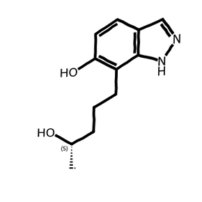 [CH2][C@H](O)CCCc1c(O)ccc2cn[nH]c12